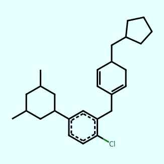 CC1CC(C)CC(c2ccc(Cl)c(CC3=CCC(CC4CCCC4)C=C3)c2)C1